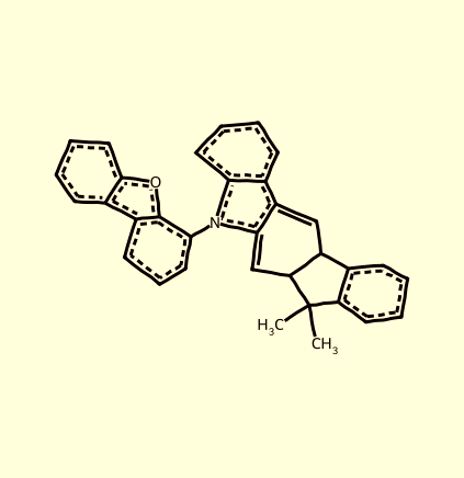 CC1(C)c2ccccc2C2C=c3c(n(-c4cccc5c4oc4ccccc45)c4ccccc34)=CC21